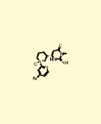 CN1C(=N)N[C@H](C2CCC[N+]([O-])(c3cc(Br)ccn3)C2)CC1=O